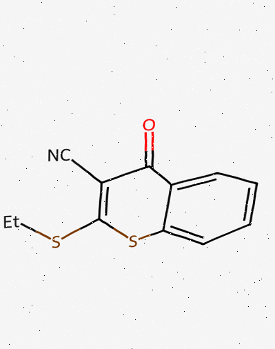 CCSc1sc2ccccc2c(=O)c1C#N